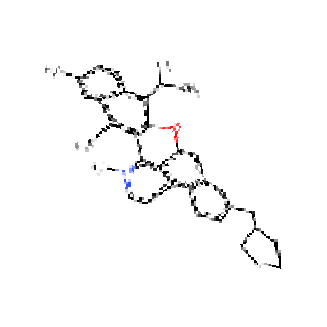 Cc1ccc2c(C(C)C)c3c(c(C)c2c1)-c1c2c(cc4cc(CC5CCCC5)ccc4c2cc[n+]1C)O3